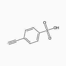 [C]#Cc1ccc(S(=O)(=O)O)cc1